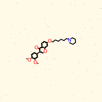 COc1ccc(-c2coc3cc(OCCCCCCN4CCCCC4)ccc3c2=O)cc1OC